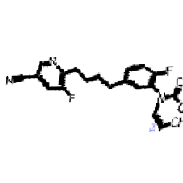 C=C(C)N(/C=C\C)c1cc(CCCCc2ncc(C#N)cc2F)ccc1F